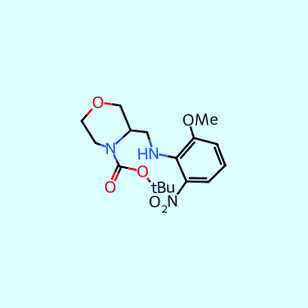 COc1cccc([N+](=O)[O-])c1NCC1COCCN1C(=O)OC(C)(C)C